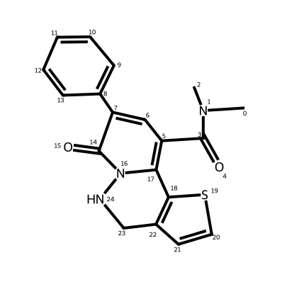 CN(C)C(=O)c1cc(-c2ccccc2)c(=O)n2c1-c1sccc1CN2